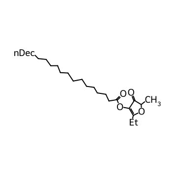 CCCCCCCCCCCCCCCCCCCCCCCC(=O)OC1=C(CC)OC(C)C1=O